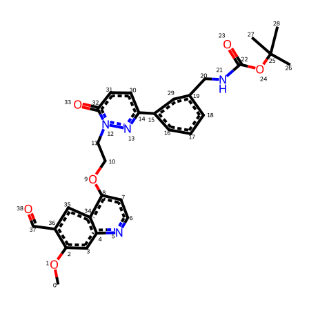 COc1cc2nccc(OCCn3nc(-c4cccc(CNC(=O)OC(C)(C)C)c4)ccc3=O)c2cc1C=O